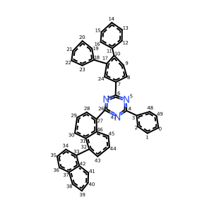 c1ccc(-c2nc(-c3ccc(-c4ccccc4)c(-c4ccccc4)c3)nc(-c3cccc4c(-c5cccc6ccccc56)cccc34)n2)cc1